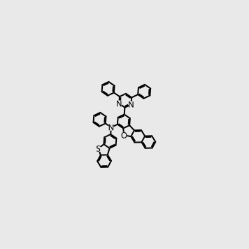 c1ccc(-c2cc(-c3ccccc3)nc(-c3cc(N(c4ccccc4)c4ccc5c(c4)sc4ccccc45)c4oc5cc6ccccc6cc5c4c3)n2)cc1